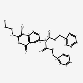 CCCOc1oc(=O)c2cc(N(C(=O)CCc3ccccc3)C(=O)CCc3ccccc3)ccc2c1Cl